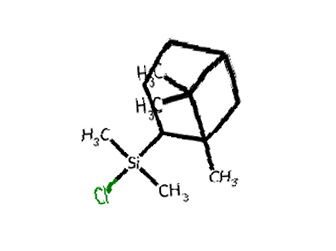 CC1(C)C2CCC([Si](C)(C)Cl)C1(C)C2